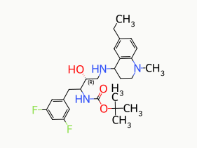 CCc1ccc2c(c1)C(NC[C@@H](O)C(Cc1cc(F)cc(F)c1)NC(=O)OC(C)(C)C)CCN2C